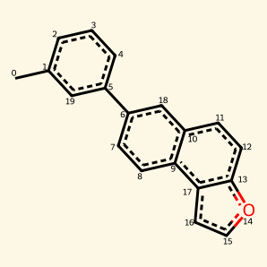 Cc1cccc(-c2ccc3c(ccc4occc43)c2)c1